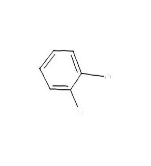 [Li][c]1ccccc1[O]